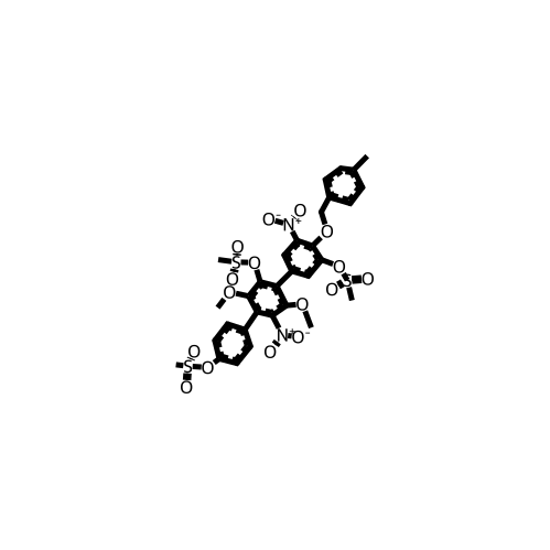 COc1c(OS(C)(=O)=O)c(-c2cc(OS(C)(=O)=O)c(OCc3ccc(C)cc3)c([N+](=O)[O-])c2)c(OC)c([N+](=O)[O-])c1-c1ccc(OS(C)(=O)=O)cc1